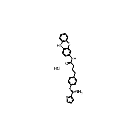 Cl.N/C(=N\c1ccc(CCCC(=O)Nc2ccc3c(c2)Sc2ccccc2N3)cc1)c1cccs1